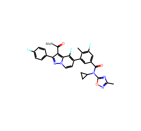 CNC(=O)c1c(-c2ccc(F)cc2)nn2ccc(-c3cc(C(=O)N(c4nc(C)no4)C4CC4)cc(F)c3C)c(F)c12